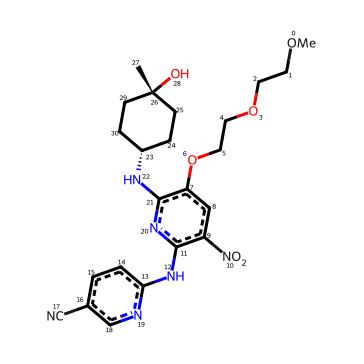 COCCOCCOc1cc([N+](=O)[O-])c(Nc2ccc(C#N)cn2)nc1N[C@H]1CC[C@@](C)(O)CC1